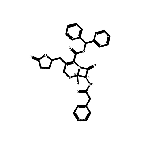 O=C(Cc1ccccc1)N[C@@H]1C(=O)N2C(C(=O)OC(c3ccccc3)c3ccccc3)=C(CC3CCC(=O)O3)CS[C@@H]12